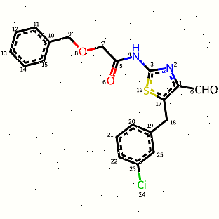 O=Cc1nc(NC(=O)COCc2ccccc2)sc1Cc1cccc(Cl)c1